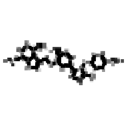 COc1ccc(Cn2c(C)nnc2-c2ccc(C)c(OCc3csc4c(C(=O)O)cnc(N)c34)c2)cc1